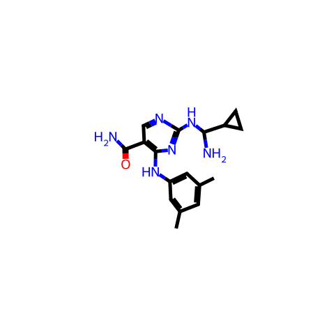 Cc1cc(C)cc(Nc2nc(NC(N)C3CC3)ncc2C(N)=O)c1